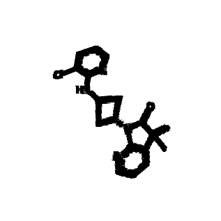 CC1(C)C(=O)N([C@H]2C[C@H](Nc3ncccc3Cl)C2)c2ncccc21